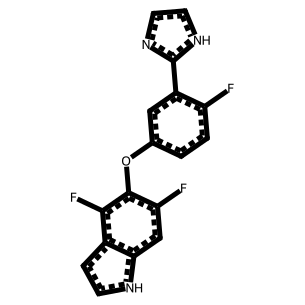 Fc1ccc(Oc2c(F)cc3[nH]ccc3c2F)cc1-c1ncc[nH]1